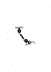 Cc1nc(-c2ccc(OCCCCCOc3ccc(C(=N)N=O)cc3)cc2)c(C(C)C)s1